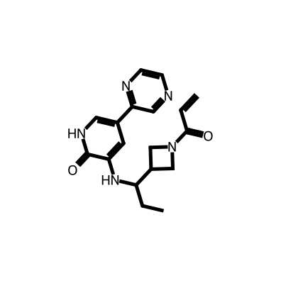 C=CC(=O)N1CC(C(CC)Nc2cc(-c3cnccn3)c[nH]c2=O)C1